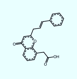 O=C(O)Cc1cccc2c(=O)cc(CC=Cc3ccccc3)oc12